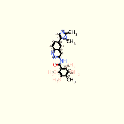 Bc1c(B)c(C(=O)Nc2cc3cc(-c4cnc(C)n4C)ccc3nn2)c(B)c(B)c1C